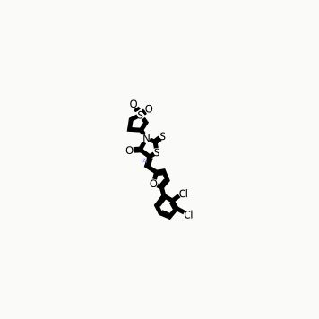 O=C1/C(=C/c2ccc(-c3cccc(Cl)c3Cl)o2)SC(=S)N1C1CCS(=O)(=O)C1